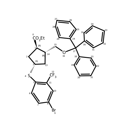 CCOC(=O)[C@@H]1C[C@@H](Sc2ccc(Br)cc2C(F)(F)F)C[C@H]1COC(c1ccccc1)(c1ccccc1)c1ccccc1